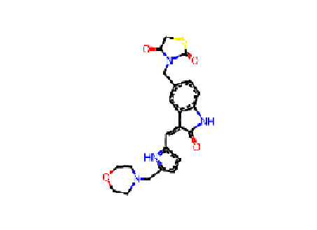 O=C1Nc2ccc(CN3C(=O)CSC3=O)cc2C1=Cc1ccc(CN2CCOCC2)[nH]1